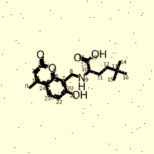 Cc1cc(=O)oc2c(CNC(CCC(C)(C)C)C(=O)O)c(O)ccc12